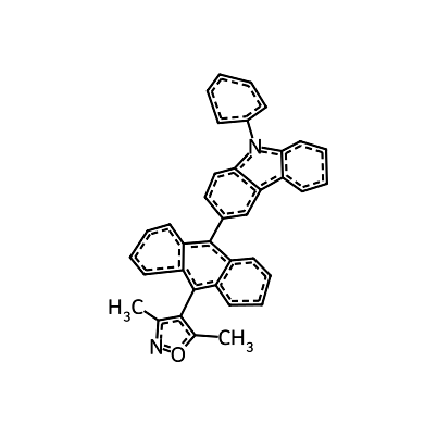 Cc1noc(C)c1-c1c2ccccc2c(-c2ccc3c(c2)c2ccccc2n3-c2ccccc2)c2ccccc12